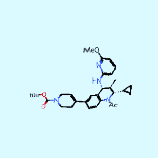 COc1cccc(N[C@H]2c3cc(C4=CCN(C(=O)OC(C)(C)C)CC4)ccc3N(C(C)=O)[C@@H](C3CC3)[C@@H]2C)n1